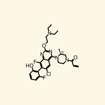 C=CC(=O)N1CCN(c2nc(OCCN(CC)CC)nc3c(F)c(-c4c(O)cccc4F)c(Cl)cc23)[C@@H](C)C1